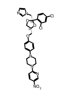 O=[N+]([O-])c1ccc(N2CCN(c3ccc(OC[C@@H]4CO[C@@](Cn5ccnc5)(c5ccc(Cl)cc5Cl)O4)cc3)CC2)nc1